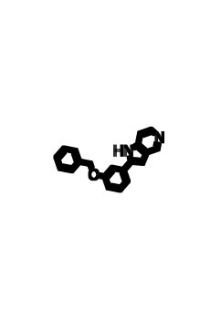 c1ccc(COc2cccc(-c3cc4cnccc4[nH]3)c2)cc1